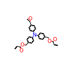 C=CC(=O)OCc1ccc(N(c2ccc(COC(=O)C=C)cc2)c2ccc(C3CO3)cc2)cc1